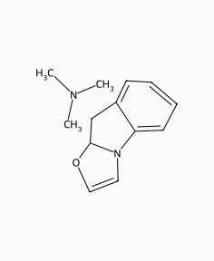 C1=CN2c3ccccc3CC2O1.CN(C)C